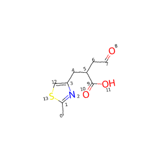 Cc1nc(CC(CC=O)C(=O)O)cs1